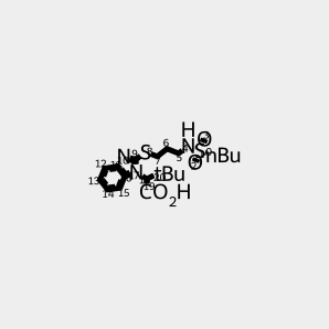 CCCCS(=O)(=O)NCCCSc1nc2ccccc2n1C(C(=O)O)C(C)(C)C